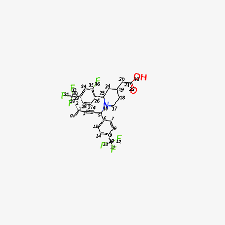 C=C(C)C#CC(c1ccc(C(F)(F)F)cc1)N1CCC(CC(=O)O)CC1c1ccc(C(F)(F)F)cc1F